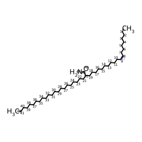 CCCCCCCC/C=C\CCCCCCCCCCC(CCCCCCCCCCCCCCCCCCCCCC)C(N)=O